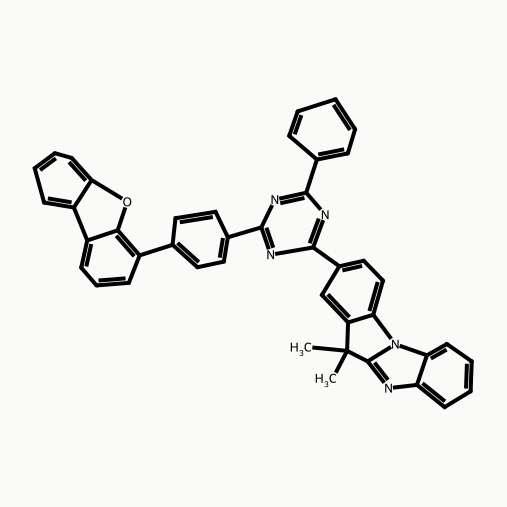 CC1(C)c2cc(-c3nc(-c4ccccc4)nc(-c4ccc(-c5cccc6c5oc5ccccc56)cc4)n3)ccc2-n2c1nc1ccccc12